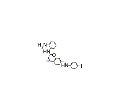 Nc1ccccc1NC(=O)/C=C\c1ccc(CNc2ccc(I)cc2)cc1